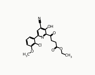 CCOC(=O)CCC(=O)c1nc(-c2cccc(OC)c2Cl)cc(C#N)c1O